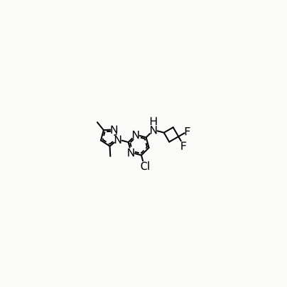 Cc1cc(C)n(-c2nc(Cl)cc(NC3CC(F)(F)C3)n2)n1